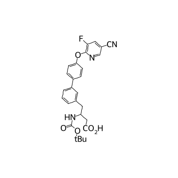 CC(C)(C)OC(=O)NC(CC(=O)O)Cc1cccc(-c2ccc(Oc3ncc(C#N)cc3F)cc2)c1